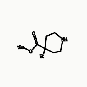 CCC1(C(=O)OC(C)(C)C)CCNCC1